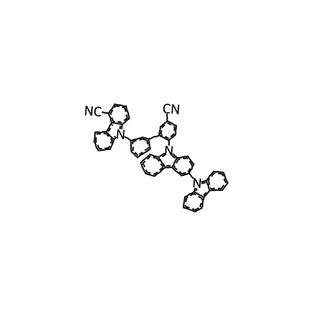 N#Cc1ccc(-n2c3ccccc3c3cc(-n4c5ccccc5c5ccccc54)ccc32)c(-c2cccc(-n3c4ccccc4c4c(C#N)cccc43)c2)c1